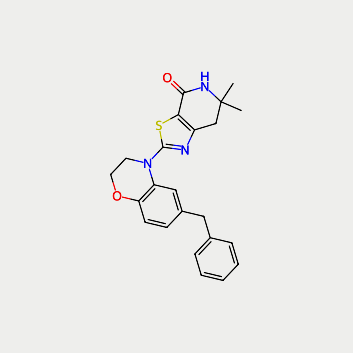 CC1(C)Cc2nc(N3CCOc4ccc(Cc5ccccc5)cc43)sc2C(=O)N1